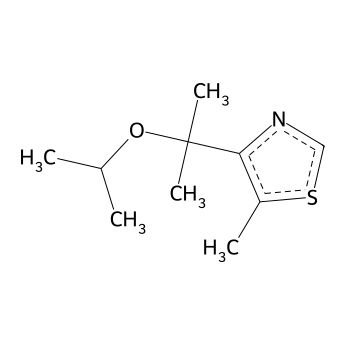 Cc1scnc1C(C)(C)OC(C)C